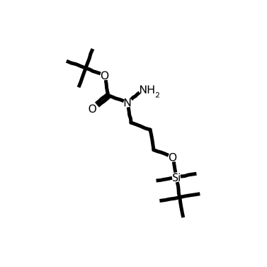 CC(C)(C)OC(=O)N(N)CCCO[Si](C)(C)C(C)(C)C